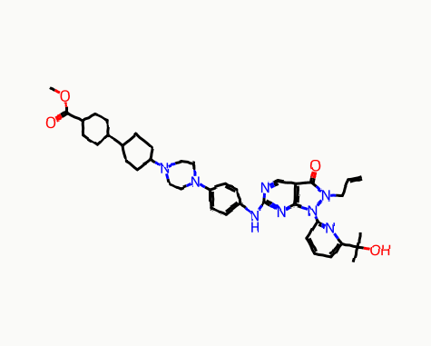 C=CCn1c(=O)c2cnc(Nc3ccc(N4CCN(C5CCC(C6CCC(C(=O)OC)CC6)CC5)CC4)cc3)nc2n1-c1cccc(C(C)(C)O)n1